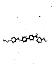 O=C(O)N1CCC(COc2ccc(-c3ccc(C(=O)N4CCOC(CO)C4)cc3)nc2)CC1